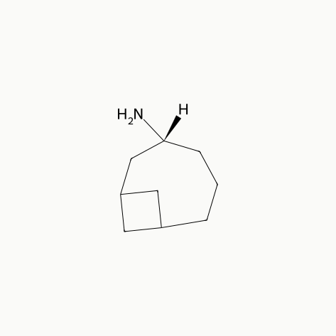 N[C@@H]1CCCC2CC(C2)C1